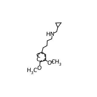 COc1ccc(CCCCNCC2CC2)cc1OC